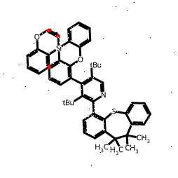 CC(C)(C)c1cnc(-c2cccc3c2Sc2ccccc2C(C)(C)C3(C)C)c(C(C)(C)C)c1-c1cccc2c1Oc1ccccc1[Si]21c2ccccc2Oc2ccccc21